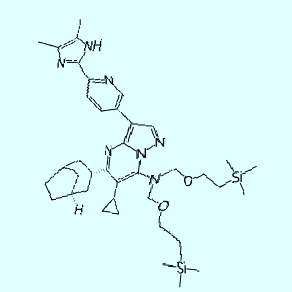 Cc1nc(-c2ccc(-c3cnn4c(N(COCC[Si](C)(C)C)COCC[Si](C)(C)C)c(C5CC5)c([C@H]5CC6CC[C@@H](C6)C5)nc34)cn2)[nH]c1C